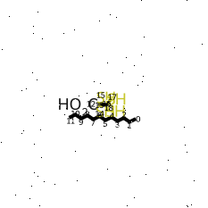 CCCCCCCCCCCC.O=C(O)C(S)(S)C(S)S